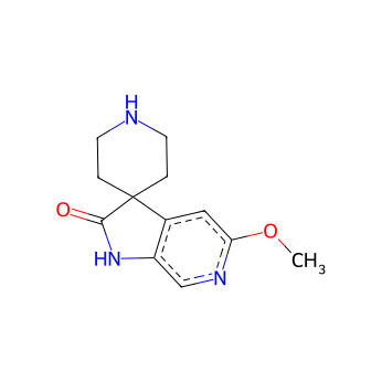 COc1cc2c(cn1)NC(=O)C21CCNCC1